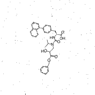 CC(C)N(CC(O)C(=O)OCc1ccccc1)C(=O)N[C@@H](Cc1ccc(-c2cccc3ccccc23)cc1)C(=O)O